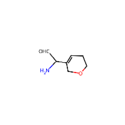 NC([C]=O)C1=CCCOC1